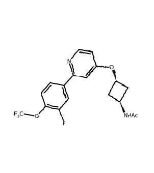 CC(=O)N[C@H]1C[C@@H](Oc2ccnc(-c3ccc(OC(F)(F)F)c(F)c3)c2)C1